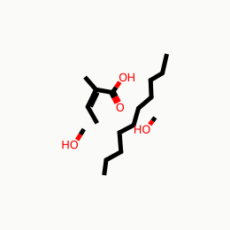 CC=C(C)C(=O)O.CCCCCCCCCC.CO.CO